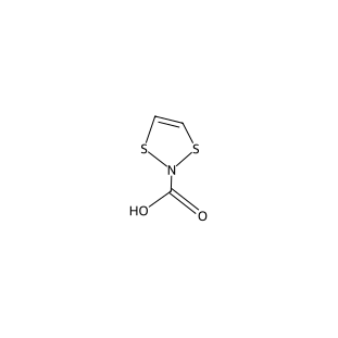 O=C(O)N1SC=CS1